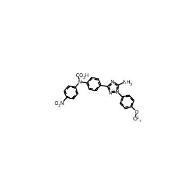 Nc1nc(-c2ccc(N(C(=O)O)c3ccc([N+](=O)[O-])cc3)cc2)nn1-c1ccc(OC(F)(F)F)cc1